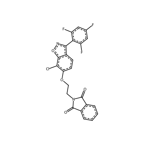 O=C1c2ccccc2C(=O)N1CCOc1ccc2c(-c3c(F)cc(F)cc3F)noc2c1Cl